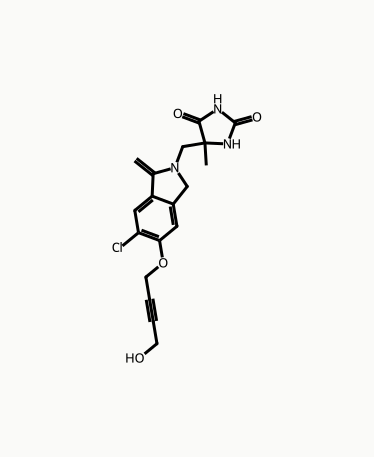 C=C1c2cc(Cl)c(OCC#CCO)cc2CN1CC1(C)NC(=O)NC1=O